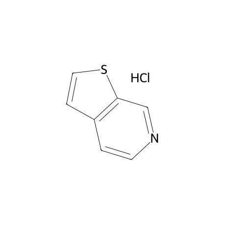 Cl.c1cc2ccsc2cn1